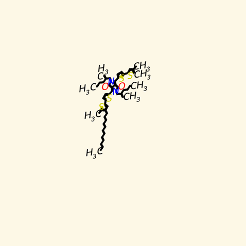 CCCCCCCCCCCCc1cc(-c2ccc(C3=C4C(=O)N(CC(CC)CCCC)C(c5ccc(-c6cc(C)c(C)s6)s5)=C4C(=O)N3CC(CC)CCCC)s2)sc1C